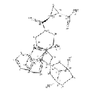 Cc1nc2ccccc2n1C1C[C@H]2CC[C@@H](C1)N2CCC1(c2ccccc2)CCN(C(=O)[C@H]2C[C@@H]2C(=O)O)CC1